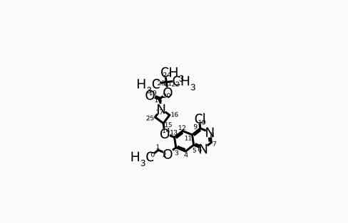 CCOc1cc2ncnc(Cl)c2cc1OC1CN(C(=O)OC(C)(C)C)C1